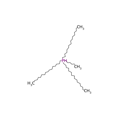 CCCCCCCCCCCCCCCC[PH](CCCCCC)(CCCCCCCCCCCCCCCC)CCCCCCCCCCCCCCCC